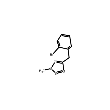 Cn1nnc(Cc2ccccc2Br)n1